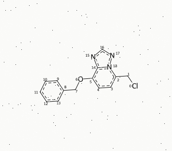 ClCc1ccc(OCc2ccccc2)c2ncnn12